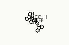 O=C(N[C@@H](C(=O)O)C(=O)NC(c1ccccc1)(c1ccccc1)c1ccccc1)OCC1c2ccccc2-c2ccccc21